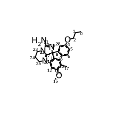 CCCOc1cccc(C2(c3ccc(OC)c(C)c3)N=C(N)N3CCCN=C32)c1